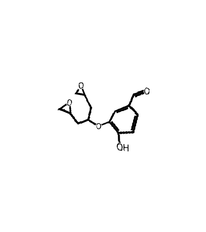 O=Cc1ccc(O)c(OC(CC2CO2)CC2CO2)c1